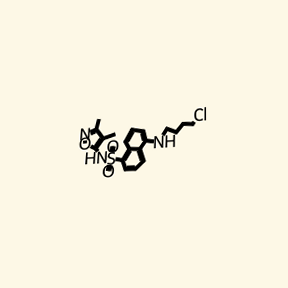 Cc1noc(NS(=O)(=O)c2cccc3c(NCCCCCl)cccc23)c1C